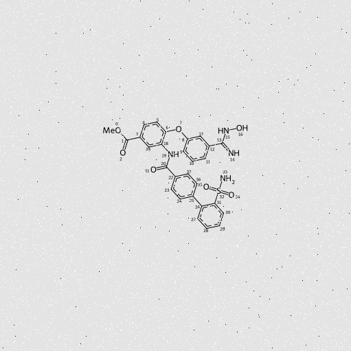 COC(=O)c1ccc(Oc2cccc(C(=N)NO)c2)c(NC(=O)c2ccc(-c3ccccc3S(N)(=O)=O)cc2)c1